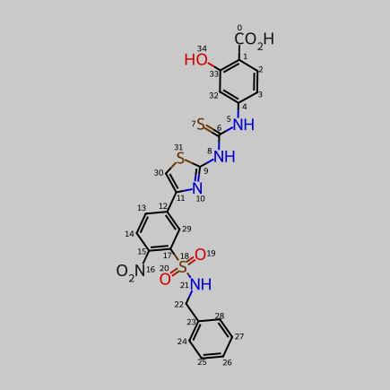 O=C(O)c1ccc(NC(=S)Nc2nc(-c3ccc([N+](=O)[O-])c(S(=O)(=O)NCc4ccccc4)c3)cs2)cc1O